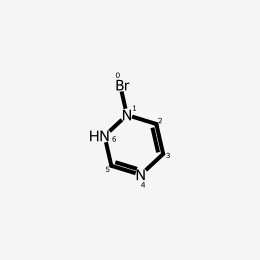 BrN1C=CN=CN1